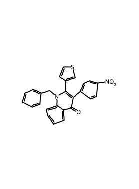 O=c1c(-c2ccc([N+](=O)[O-])cc2)c(-c2ccsc2)n(Cc2ccccc2)c2ccccc12